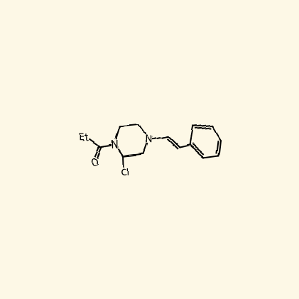 CCC(=O)N1CCN(C=Cc2ccccc2)CC1Cl